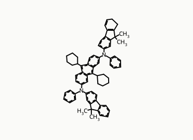 CC1(C)C2=C(C=CCC2)c2ccc(N(c3ccccc3)c3ccc4c(C5CCCCC5)c5ccc(N(c6ccccc6)c6ccc7c(c6)C(C)(C)c6ccccc6-7)cc5c(C5CCCCC5)c4c3)cc21